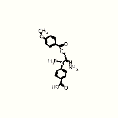 COc1ccc(C(=O)CS/C(=N/N)N(N)c2ccc(C(=O)O)cc2)cc1